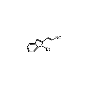 [C-]#[N+]C=Cc1cc2ccccc2n1CC